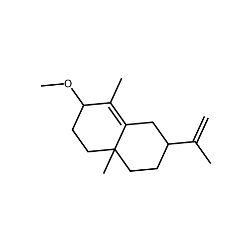 C=C(C)C1CCC2(C)CCC(OC)C(C)=C2C1